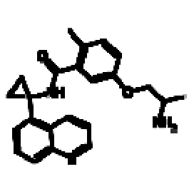 Cc1ccc(OCC(C)N)cc1C(=O)NC1(c2cccc3ncccc23)CC1